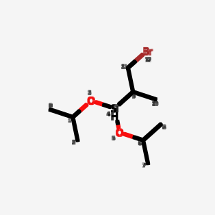 CC(C)O[SiH](OC(C)C)C(C)CBr